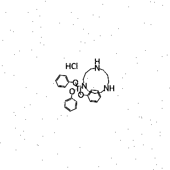 Cl.c1ccc([O][Ti]([O]c2ccccc2)([O]c2ccccc2)[N]2CCCNCCCNCCC2)cc1